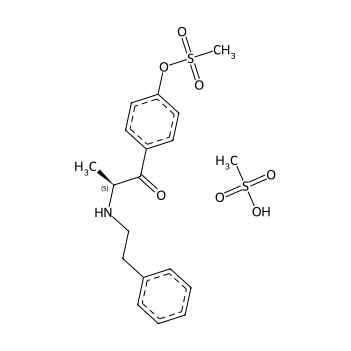 CS(=O)(=O)O.C[C@H](NCCc1ccccc1)C(=O)c1ccc(OS(C)(=O)=O)cc1